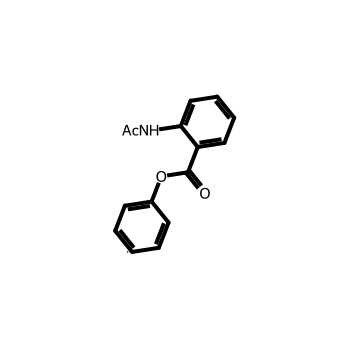 CC(=O)Nc1ccccc1C(=O)Oc1cc[c]cc1